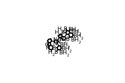 Bc1c(B)c(B)c(-c2nc(-c3cccc4c(-c5c(B)c(B)c(B)c6c(B)c(B)c(B)c(B)c56)cccc34)nc(-c3cccc4oc5ccccc5c34)n2)c(B)c1B